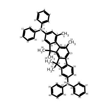 Cc1cc(N(c2ccccc2)c2ccccc2)cc2c1-c1c(C)cc3c(c1C2(C)C)C(C)(C)c1cc(N(c2ccccc2)c2ccccc2)ccc1-3